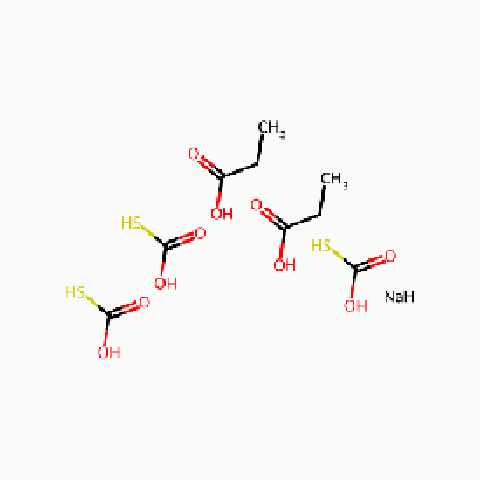 CCC(=O)O.CCC(=O)O.O=C(O)S.O=C(O)S.O=C(O)S.[NaH]